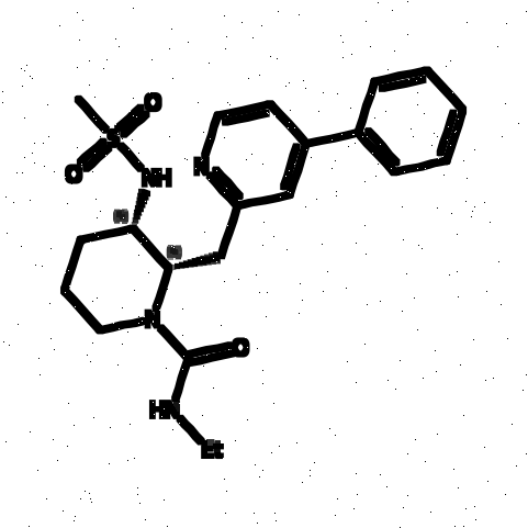 CCNC(=O)N1CCC[C@H](NS(C)(=O)=O)[C@@H]1Cc1cc(-c2ccccc2)ccn1